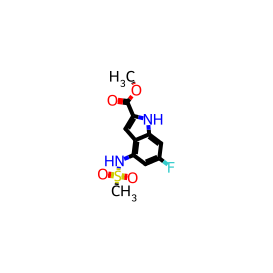 COC(=O)c1cc2c(NS(C)(=O)=O)cc(F)cc2[nH]1